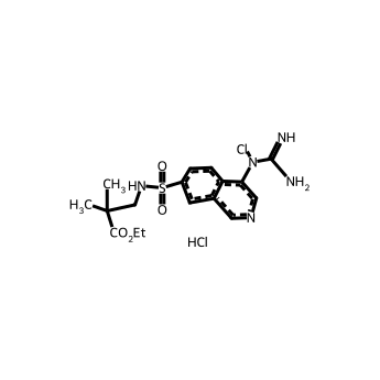 CCOC(=O)C(C)(C)CNS(=O)(=O)c1ccc2c(N(Cl)C(=N)N)cncc2c1.Cl